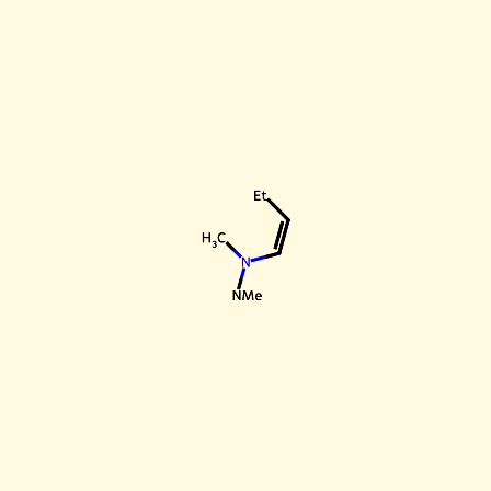 CC/C=C\N(C)NC